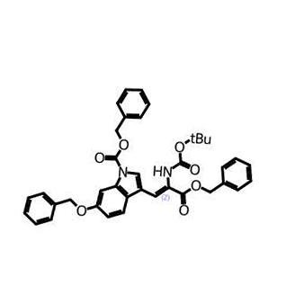 CC(C)(C)OC(=O)N/C(=C\c1cn(C(=O)OCc2ccccc2)c2cc(OCc3ccccc3)ccc12)C(=O)OCc1ccccc1